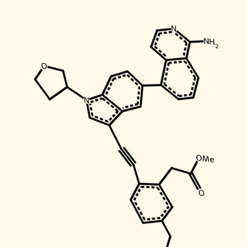 COCc1ccc(C#Cc2cn(C3CCOC3)c3ccc(-c4cccc5c(N)nccc45)cc23)c(CC(=O)OC)c1